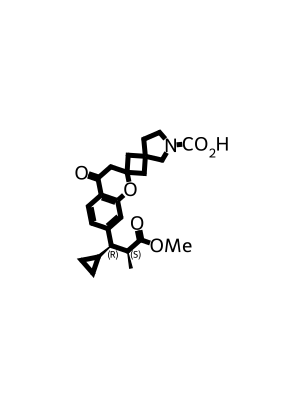 COC(=O)[C@@H](C)[C@H](c1ccc2c(c1)OC1(CC2=O)CC2(CCN(C(=O)O)C2)C1)C1CC1